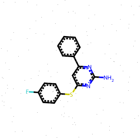 Nc1nc(Sc2ccc(F)cc2)cc(-c2ccccc2)n1